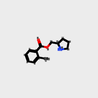 CC(=O)Oc1ccccc1C(=O)OCC1CCCN1